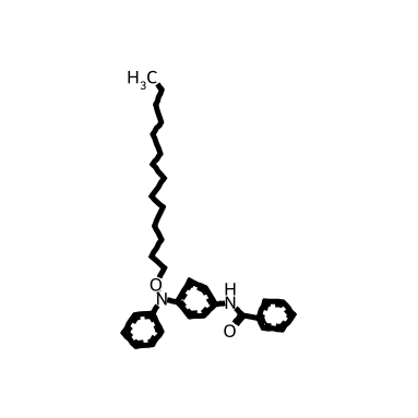 CCCCCCCCCCCCCCON(c1ccccc1)c1ccc(NC(=O)c2ccccc2)cc1